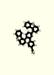 N#Cc1ccc(-c2cc(-c3cccc4sc5ccccc5c34)ccc2-c2cccc3sc4ccccc4c23)cc1